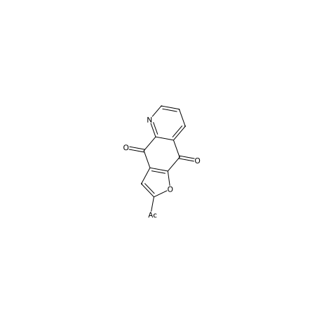 CC(=O)c1cc2c(o1)C(=O)c1cccnc1C2=O